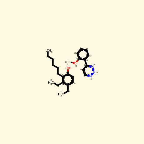 CCCCCCc1c(O)ccc(CC)c1CC.COc1ccccc1-c1ccnnn1